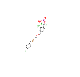 O=[PH](O)OC(F)(F)c1ccc(COCCSCc2ccc(F)cc2)cc1Br